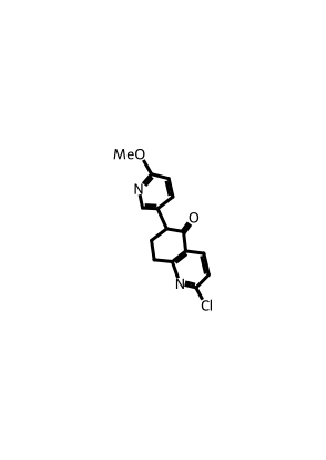 COc1ccc(C2CCc3nc(Cl)ccc3C2=O)cn1